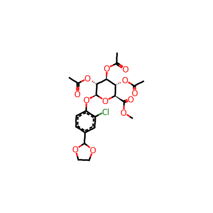 COC(=O)[C@H]1O[C@@H](Oc2ccc(C3OCCO3)cc2Cl)[C@H](OC(C)=O)[C@@H](OC(C)=O)[C@@H]1OC(C)=O